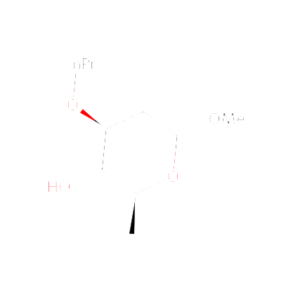 CCCO[C@H]1C[C@H](OC)O[C@@H](C)[C@@H]1O